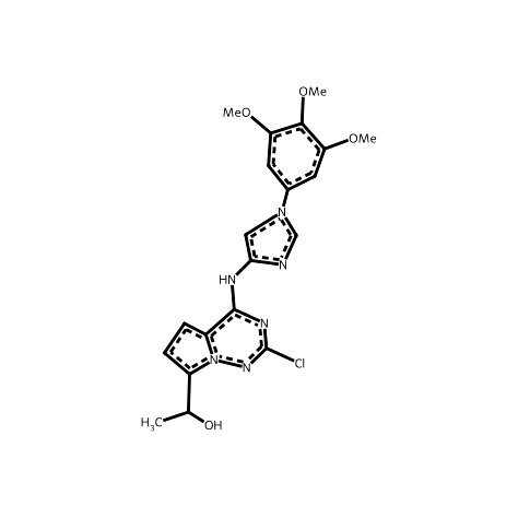 COc1cc(-n2cnc(Nc3nc(Cl)nn4c(C(C)O)ccc34)c2)cc(OC)c1OC